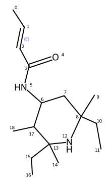 C/C=C/C(=O)NC1CC(C)(CC)NC(C)(CC)C1C